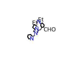 CCN(CC)c1ccc(C=O)c(CCCN(Cc2ccccn2)Cc2ccccn2)c1